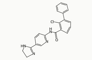 O=C(Nc1ccc(C2=NCCN2)cn1)c1cccc(-c2ccccc2)c1Cl